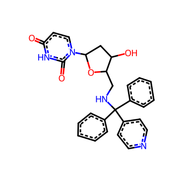 O=c1ccn(C2CC(O)C(CNC(c3ccccc3)(c3ccccc3)c3ccncc3)O2)c(=O)[nH]1